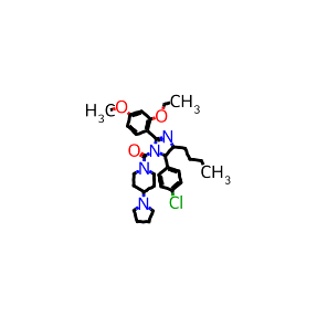 CCCCC1N=C(c2ccc(OC)cc2OCC)N(C(=O)N2CCC(N3CCCC3)CC2)C1c1ccc(Cl)cc1